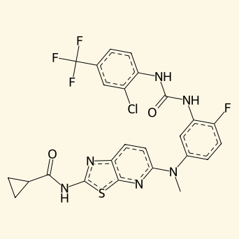 CN(c1ccc(F)c(NC(=O)Nc2ccc(C(F)(F)F)cc2Cl)c1)c1ccc2nc(NC(=O)C3CC3)sc2n1